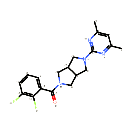 Cc1cc(C)nc(N2CC3CN(C(=O)c4cccc(F)c4F)CC3C2)n1